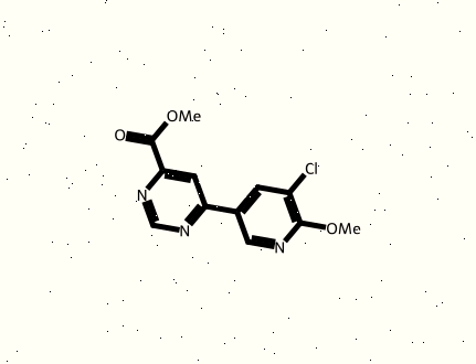 COC(=O)c1cc(-c2cnc(OC)c(Cl)c2)ncn1